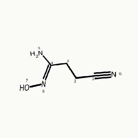 N#CCCC(N)=NO